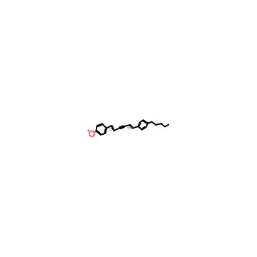 CCCCCc1ccc(/C=C/C#C/C=C/c2ccc(OC)cc2)cc1